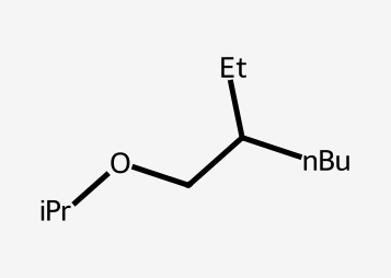 CCCCC(CC)COC(C)C